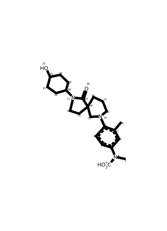 Cc1cc(N(C)C(=O)O)ccc1N1CCCC2(CCN(C3CCC(O)CC3)C2=O)C1